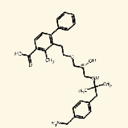 Cc1c(C(=O)O)ccc(-c2ccccc2)c1CCOC[C@H](O)CNC(C)(C)Cc1ccc(CN)cc1